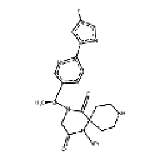 CCCN1C(=O)CN([C@@H](C)c2ccc(-n3cc(F)cn3)nc2)C(=O)C12CCNCC2